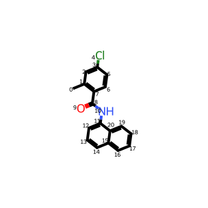 Cc1cc(Cl)ccc1C(=O)Nc1cccc2ccccc12